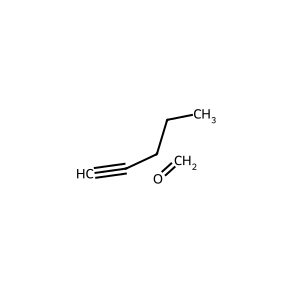 C#CCCC.C=O